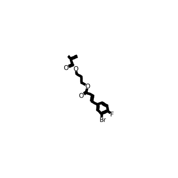 C=C(C)C(=O)OCCCOC(=O)/C=C/c1ccc(F)c(Br)c1